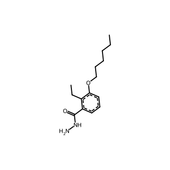 CCCCCCOc1cccc(C(=O)NN)c1CC